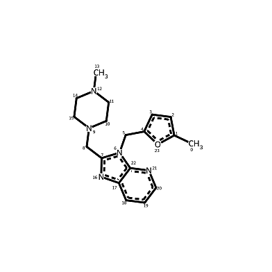 Cc1ccc(Cn2c(CN3CCN(C)CC3)nc3cccnc32)o1